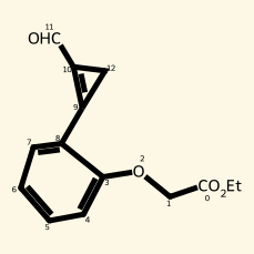 CCOC(=O)COc1ccccc1C1=C(C=O)C1